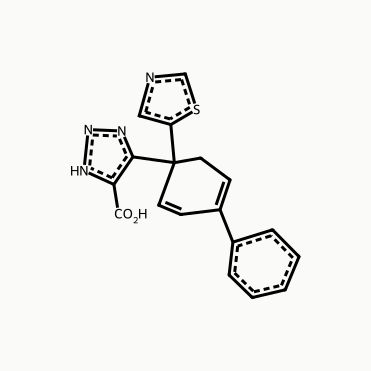 O=C(O)c1[nH]nnc1C1(c2cncs2)C=CC(c2ccccc2)=CC1